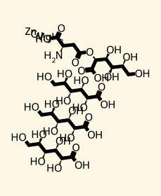 N[C@@H](CC(=O)O[C@@H](C(=O)O)[C@@H](O)[C@H](O)[C@H](O)CO)C(=O)O.O=C(O)[C@H](O)[C@@H](O)[C@H](O)[C@H](O)CO.O=C(O)[C@H](O)[C@@H](O)[C@H](O)[C@H](O)CO.O=C(O)[C@H](O)[C@@H](O)[C@H](O)[C@H](O)CO.[Cu].[MgH2].[Zn]